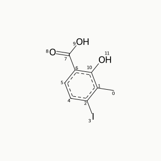 Cc1c(I)ccc(C(=O)O)c1O